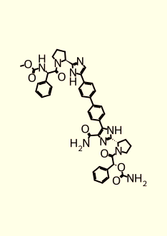 COC(=O)N[C@@H](C(=O)N1CCC[C@H]1c1ncc(-c2ccc(-c3ccc(-c4[nH]c([C@@H]5CCCN5C(=O)[C@H](OC(N)=O)c5ccccc5)nc4C(N)=O)cc3)cc2)[nH]1)c1ccccc1